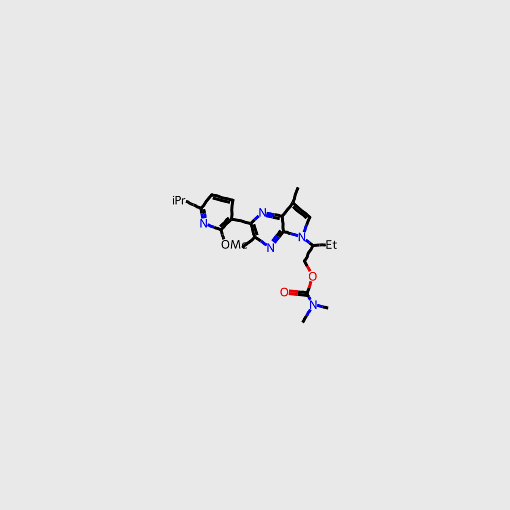 CCC(COC(=O)N(C)C)n1cc(C)c2nc(-c3ccc(C(C)C)nc3OC)c(C)nc21